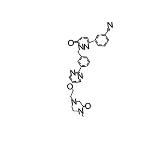 CN1CCN(CCOc2cnc(-c3cccc(Cn4nc(-c5cccc(C#N)c5)ccc4=O)c3)nc2)CC1=O